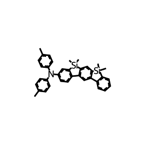 Cc1ccc(N(c2ccc(C)cc2)c2ccc3c(c2)[Si](C)(C)c2cc4c(cc2-3)-c2ccccc2[Si]4(C)C)cc1